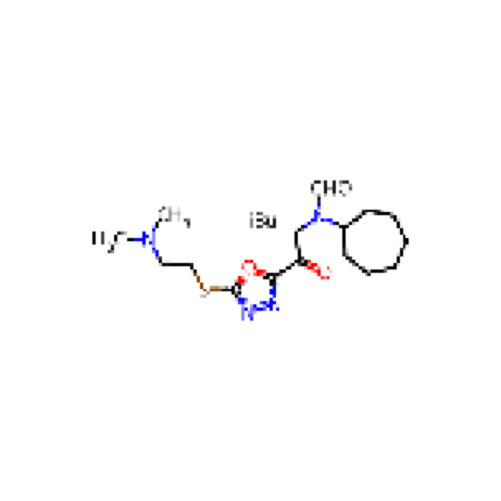 CC[C@H](C)C(C(=O)c1nnc(SCCN(C)C)o1)N(C=O)C1CCCCCC1